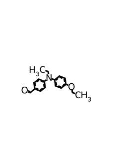 CCOc1ccc(N(CC)c2ccc(C=O)cc2)cc1